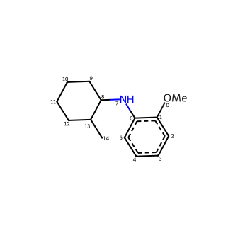 COc1ccccc1NC1CCCCC1C